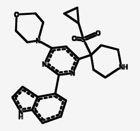 O=S(=O)(C1CC1)C1(c2cc(N3CCOCC3)nc(-c3cccc4[nH]ccc34)n2)CCNCC1